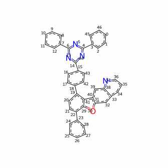 c1ccc(-c2nc(-c3ccccc3)nc(-c3ccc(-c4ccc(-c5ccccc5)c5oc6cc7cccnc7cc6c45)cc3)n2)cc1